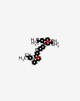 CC(C)c1ccc(N(c2ccc3cc4c(cc3c2)oc2cc3cc(N(c5ccc(C(C)C)cc5)c5cc(C(C)C)ccc5-c5ccccc5)ccc3cc24)c2ccccc2-c2ccccc2)cc1